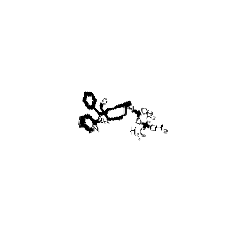 CC(C)(C)OC(=O)N1CCC(C=O)(C(Nc2ccccn2)c2ccccc2)CC1